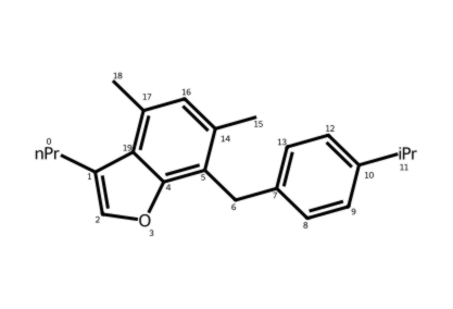 CCCc1coc2c(Cc3ccc(C(C)C)cc3)c(C)cc(C)c12